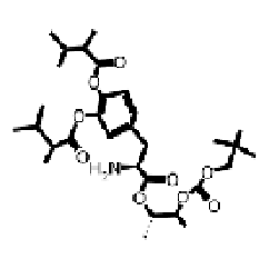 CC(C)C(C)C(=O)Oc1ccc(C[C@H](N)C(=O)O[C@@H](C)C(C)OC(=O)OCC(C)(C)C)cc1OC(=O)C(C)C(C)C